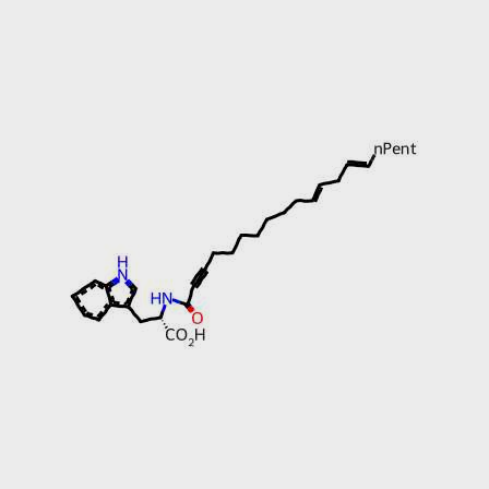 CCCCCC=CCC=CCCCCCCCC#CC(=O)N[C@@H](Cc1c[nH]c2ccccc12)C(=O)O